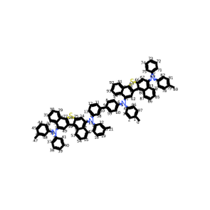 Cc1ccc(N(c2ccc(-c3cccc(N(c4cccc(C)c4)c4cc5sc6c7ccccc7c(N(c7ccccc7)c7cccc(C)c7)cc6c5c5ccccc45)c3)cc2)c2cc3c(sc4cc(N(c5ccccc5)c5ccc(C)cc5)c5ccccc5c43)c3ccccc23)cc1